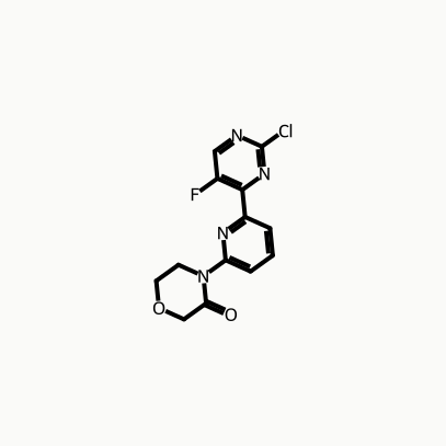 O=C1COCCN1c1cccc(-c2nc(Cl)ncc2F)n1